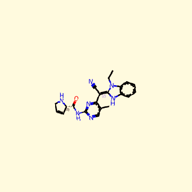 CCN1/C(=C(\C#N)c2nc(NC(=O)[C@@H]3C=CCN3)ncc2C)Nc2ccccc21